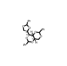 CC(C)C1OC[C@@H]2OC(C(C)C)O[C@H]([C@H]3COC(C(C)C)O3)[C@@H]2O1